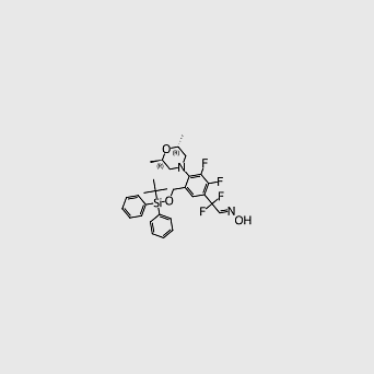 C[C@@H]1CN(c2c(CO[Si](c3ccccc3)(c3ccccc3)C(C)(C)C)cc(C(F)(F)C=NO)c(F)c2F)C[C@@H](C)O1